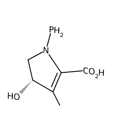 CC1=C(C(=O)O)N(P)C[C@H]1O